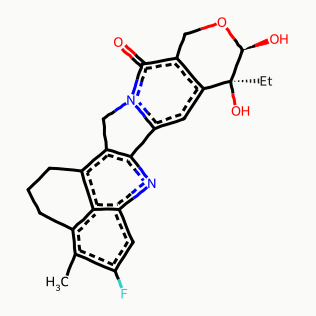 CC[C@]1(O)c2cc3n(c(=O)c2CO[C@H]1O)Cc1c-3nc2cc(F)c(C)c3c2c1CCC3